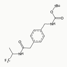 CC(NC(=O)Cc1ccc(CNC(=O)OC(C)(C)C)cc1)C(F)(F)F